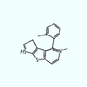 Cc1ccccc1-c1c2c3c(sc2cc[n+]1C)[SH]=CC3